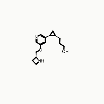 OCCC[C@@H]1C[C@@H]1c1cncc(OC[C@@H]2CCN2)c1